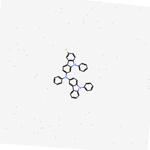 Fc1ccc2c(c1)c1ccc(N(c3ccccc3)c3ccc4c(c3)c3ccccc3n4-c3ccccc3)cc1n2-c1ccccc1